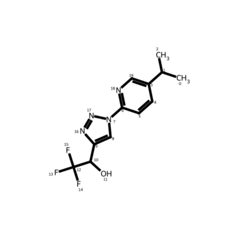 CC(C)c1ccc(-n2cc(C(O)C(F)(F)F)nn2)nc1